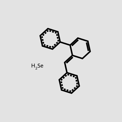 C1=CCC(=Cc2ccccc2)C(c2ccccc2)=C1.[SeH2]